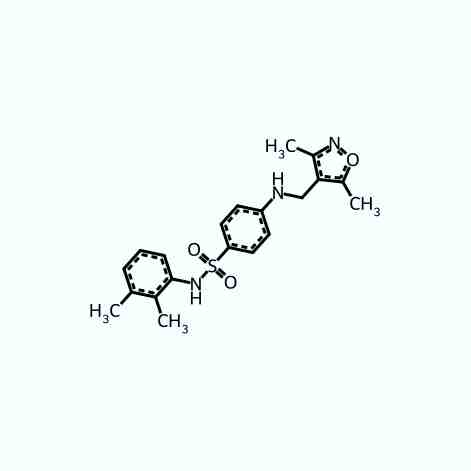 Cc1cccc(NS(=O)(=O)c2ccc(NCc3c(C)noc3C)cc2)c1C